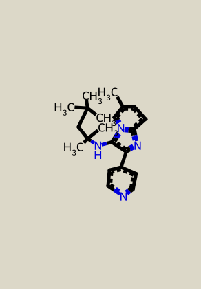 Cc1ccc2nc(-c3ccncc3)c(NC(C)(C)CC(C)(C)C)n2c1